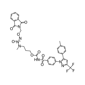 Cc1ccc(-c2cc(C(F)(F)F)nn2-c2ccc(S(=O)(=O)NC(=O)OCCCN(C)[N+]([O-])=NOCN3C(=O)c4ccccc4C3=O)cc2)cc1